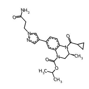 CC(C)OC(=O)N1C[C@H](C)N(C(=O)C2CC2)c2ccc(-c3cnn(CCC(N)=O)c3)cc21